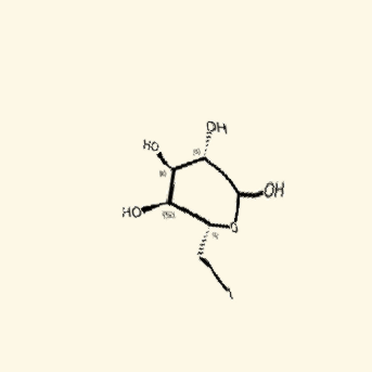 OC1O[C@H](CI)[C@@H](O)[C@@H](O)[C@@H]1O